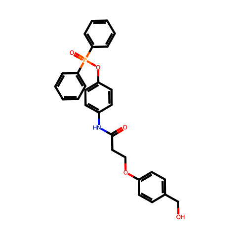 O=C(CCOc1ccc(CO)cc1)Nc1ccc(OP(=O)(c2ccccc2)c2ccccc2)cc1